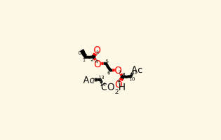 C=CC(=O)OCCOC(=O)CC(C)=O.CC(=O)CC(=O)O